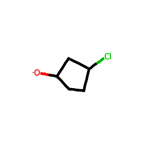 [O]C1CCC(Cl)C1